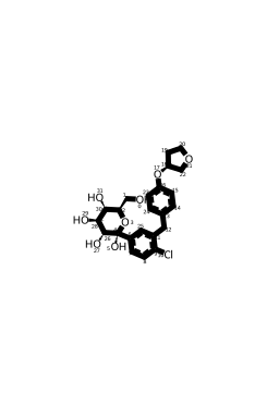 OC[C@H]1O[C@@](O)(c2ccc(Cl)c(Cc3ccc(O[C@H]4CCOC4)cc3)c2)[C@H](O)[C@@H](O)[C@@H]1O